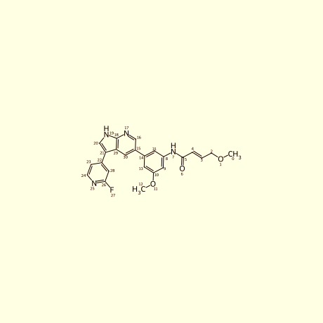 COC/C=C/C(=O)Nc1cc(OC)cc(-c2cnc3[nH]cc(-c4ccnc(F)c4)c3c2)c1